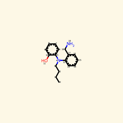 CCCCN(c1ccccc1O)c1ccccc1CN